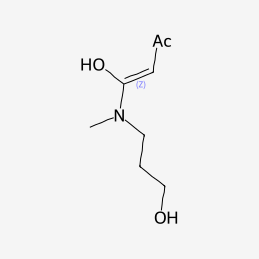 CC(=O)/C=C(\O)N(C)CCCO